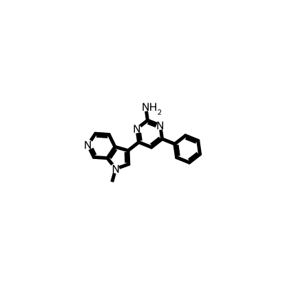 Cn1cc(-c2cc(-c3ccccc3)nc(N)n2)c2ccncc21